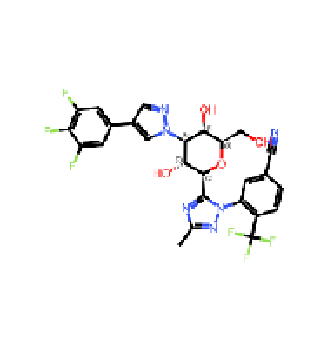 Cc1nc([C@@H]2O[C@H](CO)[C@H](O)[C@H](n3cc(-c4cc(F)c(F)c(F)c4)cn3)[C@H]2O)n(-c2cc(C#N)ccc2C(F)(F)F)n1